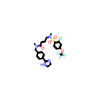 CN(Cc1ccc(C2=NCCN2)cc1)C(=O)C=CCN(C)S(=O)(=O)c1ccc(OC(F)(F)F)cc1Cl